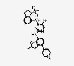 CC1Cc2c(N3CCN(C)CC3)ccc(Nc3ncc(Br)c(Nc4cccc5c4N(S(C)(=O)=O)CC5)n3)c2O1